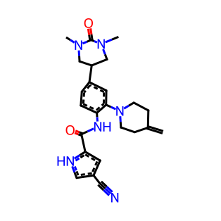 C=C1CCN(c2cc(C3CN(C)C(=O)N(C)C3)ccc2NC(=O)c2cc(C#N)c[nH]2)CC1